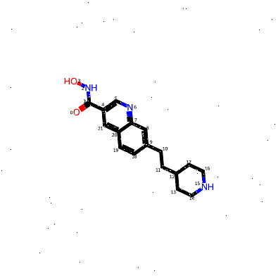 O=C(NO)c1cnc2cc(CCC3CCNCC3)ccc2c1